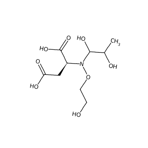 CC(O)C(O)N(OCCO)[C@@H](CC(=O)O)C(=O)O